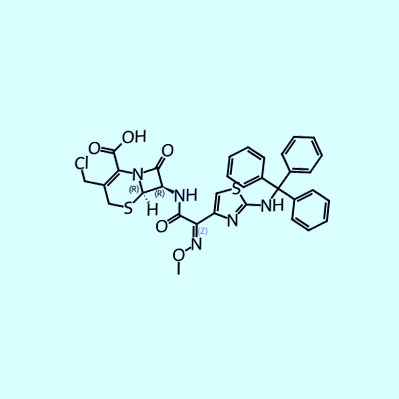 CO/N=C(\C(=O)N[C@@H]1C(=O)N2C(C(=O)O)=C(CCl)CS[C@H]12)c1csc(NC(c2ccccc2)(c2ccccc2)c2ccccc2)n1